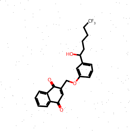 O=C1C=C(COc2cccc(C(O)CCCCC(F)(F)F)c2)C(=O)c2ccccc21